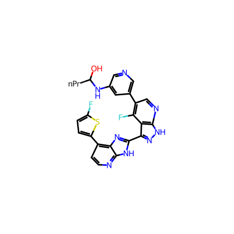 CCCC(O)Nc1cncc(-c2cnc3[nH]nc(-c4nc5c(-c6ccc(F)s6)ccnc5[nH]4)c3c2F)c1